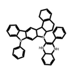 C1=CC2NC(c3ccccc3)=C(N3C4C=c5c(c6ccccc6n5-c5ccccc5)=CC4C4C5=C(C=CCC5)CCC43)NC2C=C1